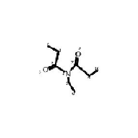 CCC(=O)N(CC)C(=O)CC